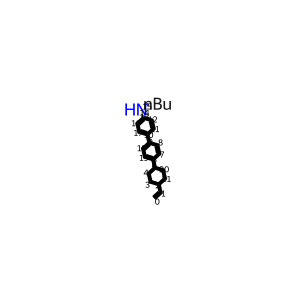 C=CC1CCC(c2ccc(-c3ccc(NCCCC)cc3)cc2)CC1